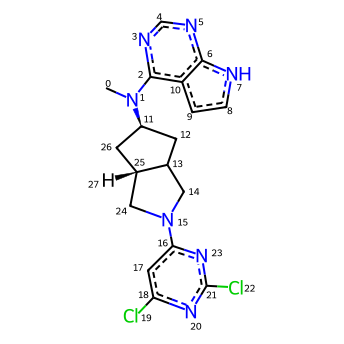 CN(c1ncnc2[nH]ccc12)[C@H]1CC2CN(c3cc(Cl)nc(Cl)n3)C[C@@H]2C1